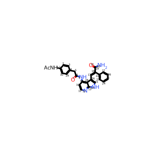 CC(=O)Nc1ccc(CC(=O)Nc2ccnc3[nH]cc(C=C(C(N)=O)c4ccccc4)c23)cc1